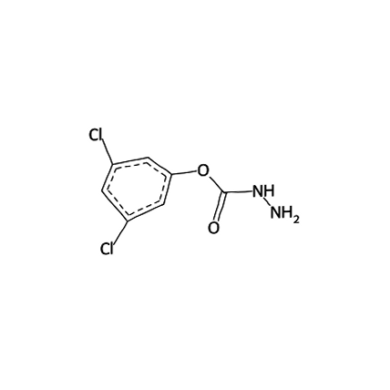 NNC(=O)Oc1cc(Cl)cc(Cl)c1